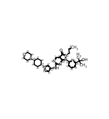 C=CCn1c(=O)c2cnc(Nc3cnn([C@H]4CC[C@H](N5CCOCC5)CC4)c3)nc2n1-c1cccc(C(C)(C)O)n1